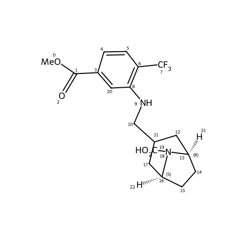 COC(=O)c1ccc(C(F)(F)F)c(NCC2C[C@H]3CC[C@@H](C2)N3C(=O)O)c1